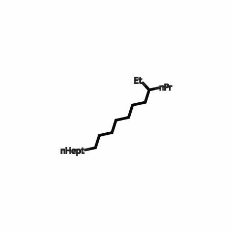 [CH2]CCC(CC)CCCCCCCCCCCCCC